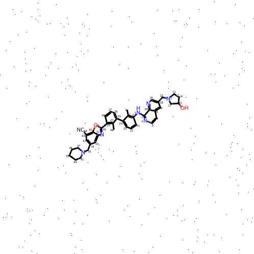 Cc1c(Nc2nccc3cc(CN4CCC(O)C4)cnc23)cccc1-c1cccc(-c2nc3cc(CN4CCCCC4)cc(C#N)c3o2)c1C